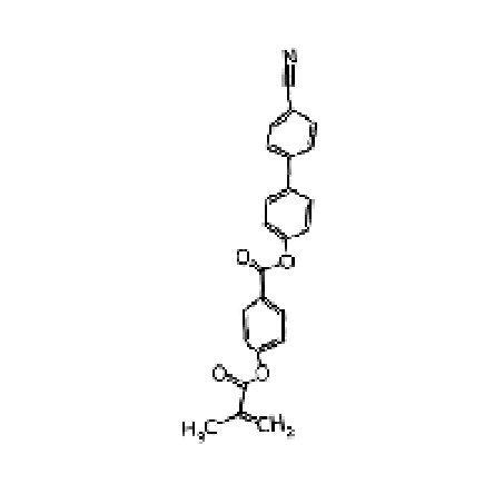 C=C(C)C(=O)Oc1ccc(C(=O)Oc2ccc(-c3ccc(C#N)cc3)cc2)cc1